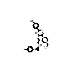 N#Cc1ccc(C(=O)N[C@@H](CCCN[C@@H]2C[C@H]2c2ccc(F)cc2)C(=O)N2CCN(CC(F)(F)F)CC2)cc1